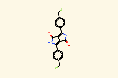 O=C1NC(c2ccc(CF)cc2)=C2C(=O)NC(c3ccc(CF)cc3)=C12